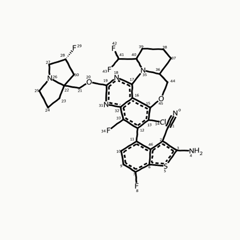 N#Cc1c(N)sc2c(F)ccc(-c3c(Cl)c4c5c(nc(OCC67CCCN6C[C@H](F)C7)nc5c3F)N3C(CCCC3C(F)F)CO4)c12